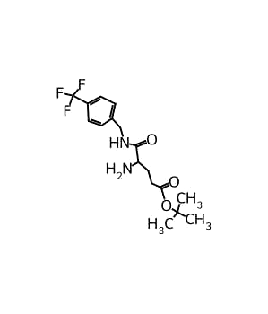 CC(C)(C)OC(=O)CCC(N)C(=O)NCc1ccc(C(F)(F)F)cc1